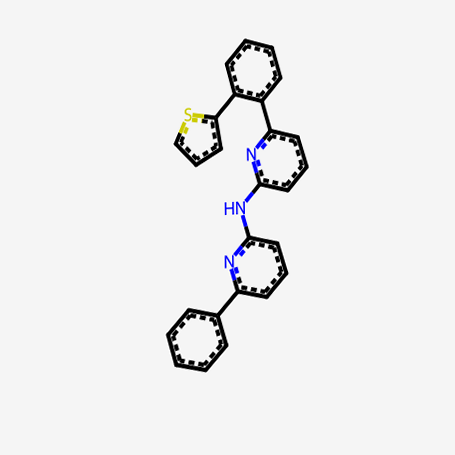 c1ccc(-c2cccc(Nc3cccc(-c4ccccc4-c4cccs4)n3)n2)cc1